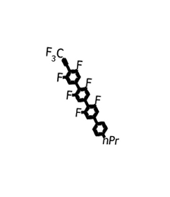 CCCc1ccc(-c2cc(F)c(-c3cc(F)c(-c4cc(F)c(C#CC(F)(F)F)c(F)c4)c(F)c3)c(F)c2)cc1